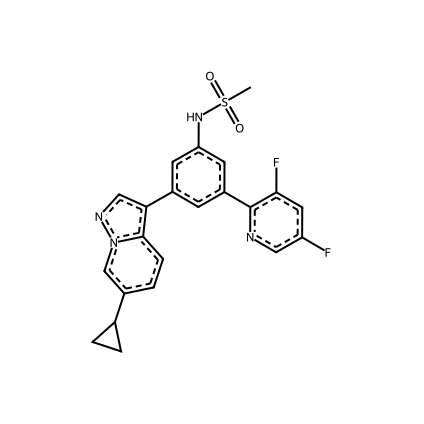 CS(=O)(=O)Nc1cc(-c2ncc(F)cc2F)cc(-c2cnn3cc(C4CC4)ccc23)c1